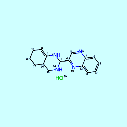 C1=C2N[C@@H](c3cnc4ccccc4n3)NCC2CCC1.Cl